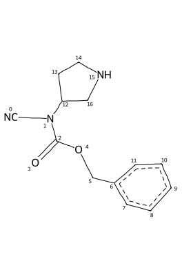 N#CN(C(=O)OCc1ccccc1)C1CCNC1